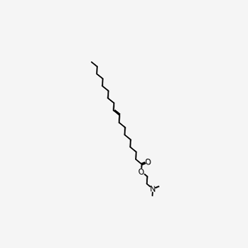 CCCCCCCCC=CCCCCCCCC(=O)OCCN(C)C